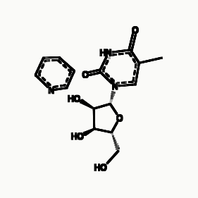 Cc1cn([C@@H]2O[C@H](CO)[C@@H](O)[C@H]2O)c(=O)[nH]c1=O.c1ccncc1